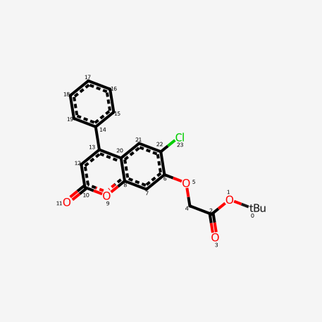 CC(C)(C)OC(=O)COc1cc2oc(=O)cc(-c3ccccc3)c2cc1Cl